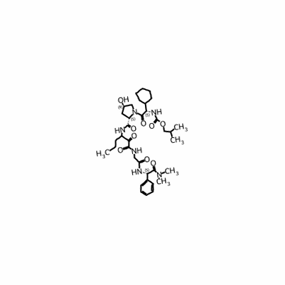 CCCC(NC(=O)[C@@H]1C[C@@H](O)CN1C(=O)[C@@H](NC(=O)OCC(C)C)C1CCCCC1)C(=O)C(=O)NCC(=O)N[C@H](C(=O)N(C)C)c1ccccc1